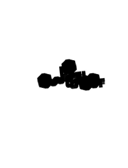 O=C(N[C@H](C(=O)NCCCc1ccccc1)c1ccccc1)c1ccc2cc(F)ccc2c1